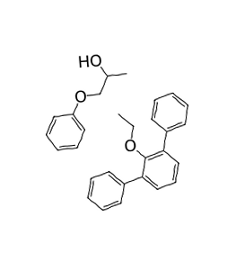 CC(O)COc1ccccc1.CCOc1c(-c2ccccc2)cccc1-c1ccccc1